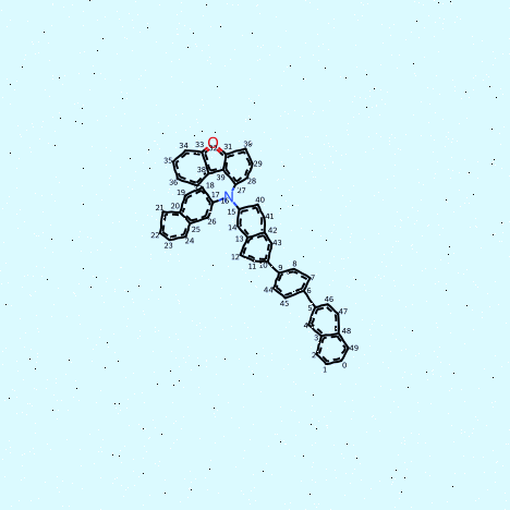 c1ccc2cc(-c3ccc(-c4ccc5cc(N(c6ccc7ccccc7c6)c6cccc7oc8ccccc8c67)ccc5c4)cc3)ccc2c1